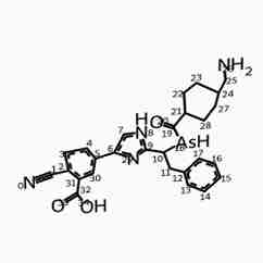 N#Cc1ccc(-c2c[nH]c(C(Cc3ccccc3)[AsH]C(=O)C3CCC(CN)CC3)n2)cc1C(=O)O